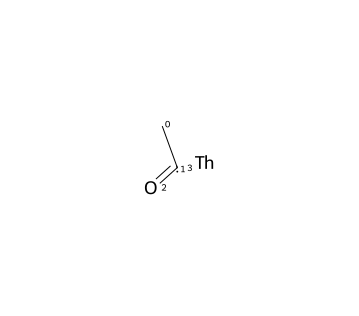 C[C]=O.[Th]